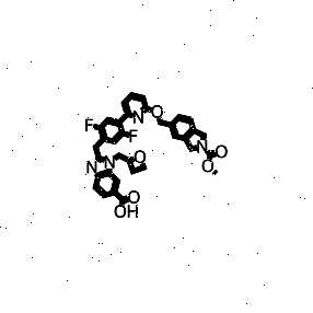 COC(=O)N1Cc2ccc(COc3cccc(-c4cc(F)c(Cc5nc6ccc(C(=O)O)cc6n5CC5CCO5)cc4F)n3)cc2C1